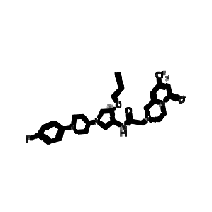 C=CCO[C@H]1CN(C2CCN(c3ccc(F)cc3)CC2)CC1NC(=O)CN1CCn2c(cc(C(F)(F)F)cc2=O)C1